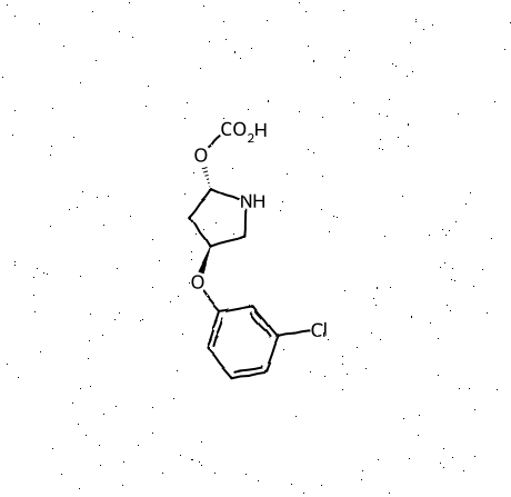 O=C(O)O[C@H]1C[C@H](Oc2cccc(Cl)c2)CN1